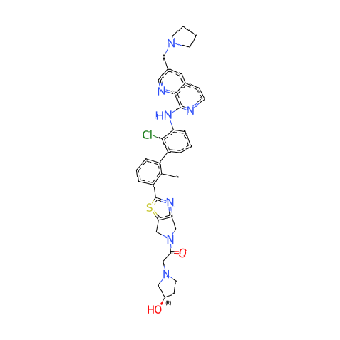 Cc1c(-c2nc3c(s2)CN(C(=O)CN2CC[C@@H](O)C2)C3)cccc1-c1cccc(Nc2nccc3cc(CN4CCCC4)cnc23)c1Cl